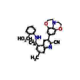 Cc1cc([C@@H](C)Nc2ccccc2C(=O)O)c2cc(-c3cc4c5c(c3)OCCN5CCO4)c(C#N)nc2c1